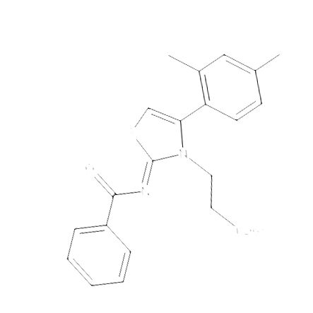 CCCCCCCCCCCCn1c(-c2ccc(C)cc2C)csc1=NC(=O)c1ccccc1